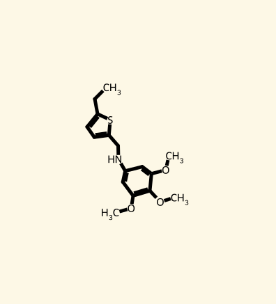 CCc1ccc(CNc2cc(OC)c(OC)c(OC)c2)s1